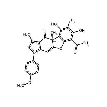 COc1ccc(-n2nc(C)c3c2C=C2Oc4c(C(C)=O)c(O)c(C)c(O)c4[C@@]2(C)C3=O)cc1